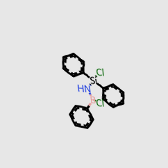 ClB(N[Si](Cl)(c1ccccc1)c1ccccc1)c1ccccc1